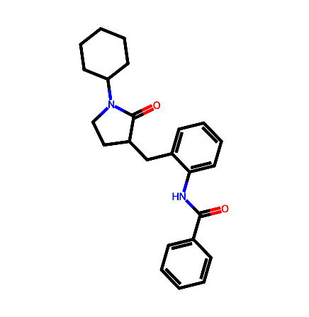 O=C(Nc1ccccc1CC1CCN(C2CCCCC2)C1=O)c1ccccc1